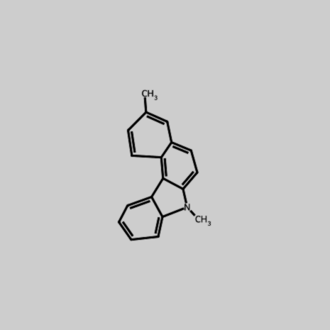 Cc1ccc2c(ccc3c2c2ccccc2n3C)c1